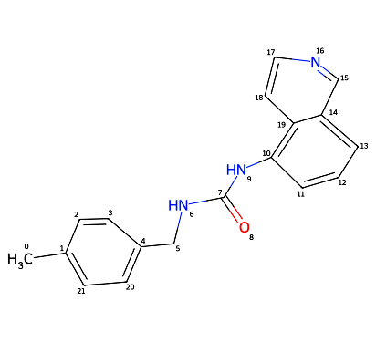 Cc1ccc(CNC(=O)Nc2cccc3cnccc23)cc1